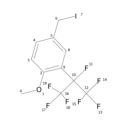 COc1ccc(CI)cc1C(F)(C(F)(F)F)C(F)(F)F